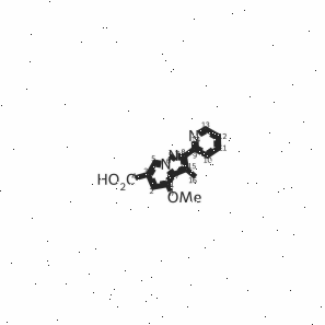 COc1cc(C(=O)O)cn2nc(-c3ccccn3)c(C)c12